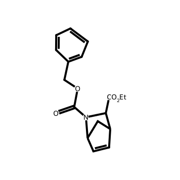 CCOC(=O)C1C2C=CC(C2)N1C(=O)OCc1ccccc1